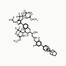 COC(=O)N[C@H](C(=O)N[C@@H](Cc1ccc(-c2nn(CC(F)F)cc2CC(C)([C@H](NC(=O)OC)C(N)=O)C(F)(F)F)cc1)[C@@H](O)CNCc1c(F)cc(-c2cnc(N3CC4CCC(C3)N4C3COC3)nc2)cc1F)C(C)(C)C(F)(F)F